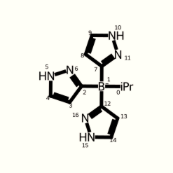 CC(C)[B-](c1cc[nH]n1)(c1cc[nH]n1)c1cc[nH]n1